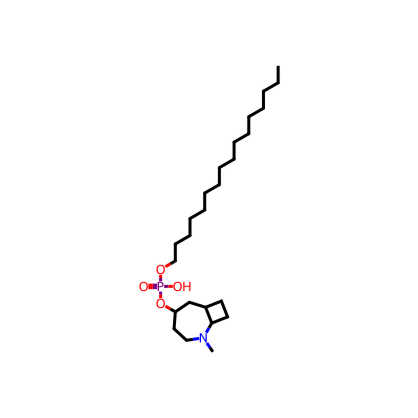 CCCCCCCCCCCCCCCCOP(=O)(O)OC1CCN(C)C2CCC2C1